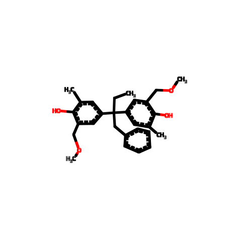 CCC(Cc1ccccc1)(c1cc(C)c(O)c(COC)c1)c1cc(C)c(O)c(COC)c1